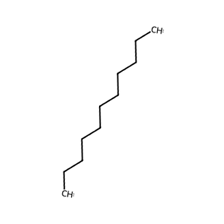 [CH]CCCCCCCCC[CH]